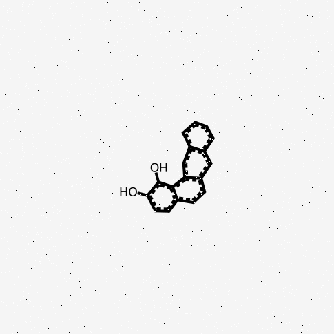 Oc1ccc2ccc3cc4ccccc4cc3c2c1O